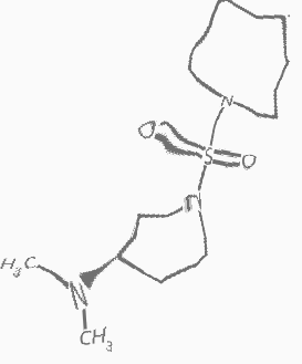 CN(C)[C@@H]1CCN(S(=O)(=O)N2CC[CH]CC2)C1